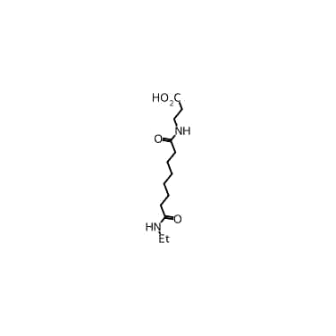 CCNC(=O)CCCCCCC(=O)NCCC(=O)O